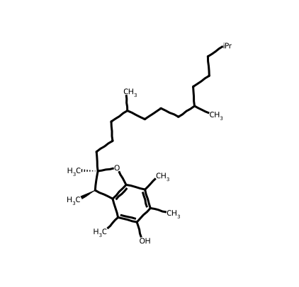 Cc1c(C)c2c(c(C)c1O)[C@@H](C)[C@@](C)(CCCC(C)CCCC(C)CCCC(C)C)O2